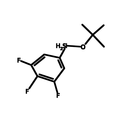 CC(C)(C)O[SiH2]c1cc(F)c(F)c(F)c1